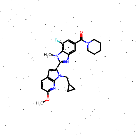 COc1ccc2cc(-c3nc4cc(C(=O)N5CCCCC5)cc(F)c4n3C)n(CC3CC3)c2n1